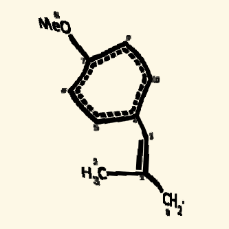 [CH2]C(C)=Cc1ccc(OC)cc1